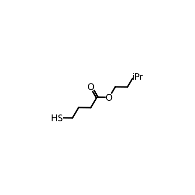 CC(C)CCOC(=O)CCCS